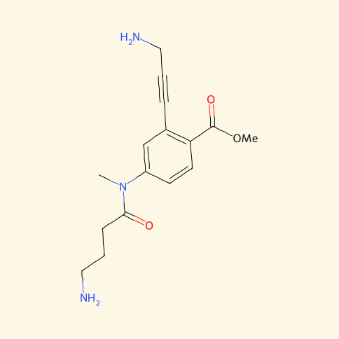 COC(=O)c1ccc(N(C)C(=O)CCCN)cc1C#CCN